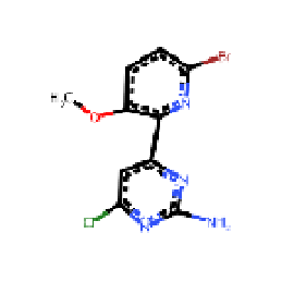 COc1ccc(Br)nc1-c1cc(Cl)nc(N)n1